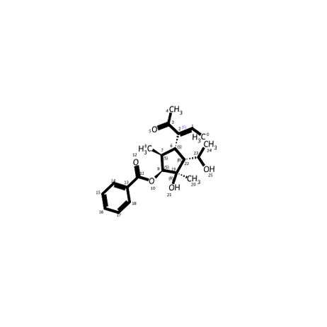 C/C=C(/C(C)=O)[C@H]1[C@H](C)[C@H](OC(=O)c2ccccc2)[C@](C)(O)[C@H]1C(C)O